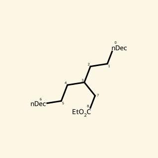 CCCCCCCCCCCCC(CCCCCCCCCCCC)CC(=O)OCC